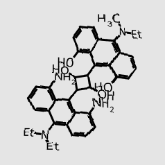 CCN(C)c1c2cccc(O)c2c(C2C(O)C(c3c4c(N)cccc4c(N(CC)CC)c4cccc(N)c34)C2O)c2c(O)cccc12